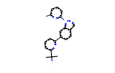 CC(C)(N)c1cccc(-c2ccc3cnn(-c4cccc(C(F)(F)F)n4)c3c2)n1